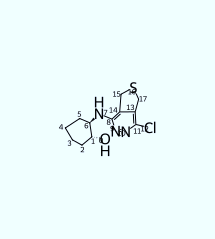 O[C@@H]1CCCC[C@H]1Nc1nnc(Cl)c2c1CSC2